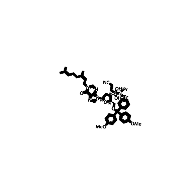 COc1ccc(C(OC[C@H]2O[C@@H](n3cnc4c(=O)n(CC=C(C)CCC=C(C)C)cnc43)C[C@@H]2P(O)(O)(CCC#N)N(C(C)C)C(C)C)(c2ccccc2)c2ccc(OC)cc2)cc1